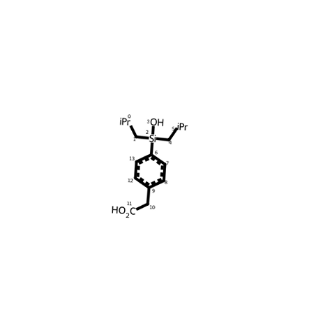 CC(C)C[Si](O)(CC(C)C)c1ccc(CC(=O)O)cc1